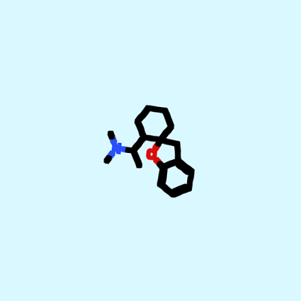 CC(C1CCCCC12Cc1ccccc1O2)N(C)C